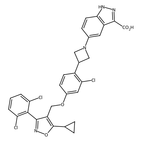 O=C(O)c1n[nH]c2ccc(N3CC(c4ccc(OCc5c(-c6c(Cl)cccc6Cl)noc5C5CC5)cc4Cl)C3)cc12